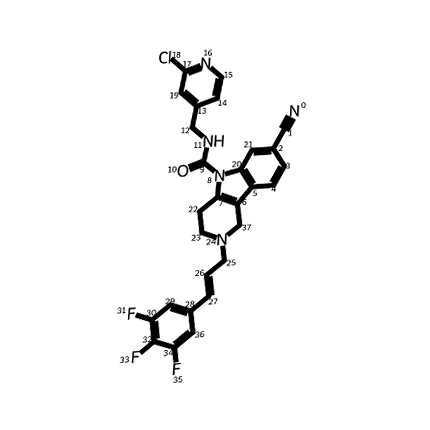 N#Cc1ccc2c3c(n(C(=O)NCc4ccnc(Cl)c4)c2c1)CCN(CC=Cc1cc(F)c(F)c(F)c1)C3